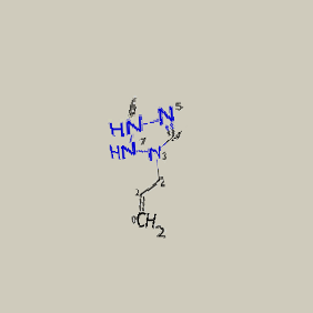 C=CCN1[C]=NNN1